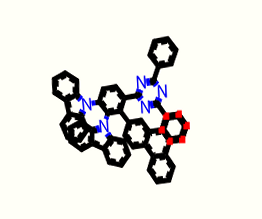 c1ccc(-c2nc(-c3ccccc3)nc(-c3ccc(-n4c5ccccc5c5ccccc54)c(-n4c5ccccc5c5ccccc54)c3-c3ccc4c5ccccc5c5ccccc5c4c3)n2)cc1